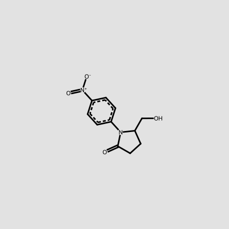 O=C1CCC(CO)N1c1ccc([N+](=O)[O-])cc1